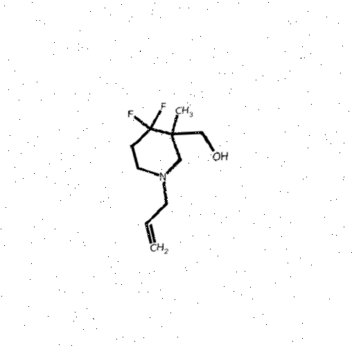 C=CCN1CCC(F)(F)C(C)(CO)C1